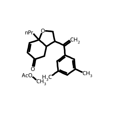 C=C(c1cc(C)cc(C)c1)C1COC2(CCC)C=CC(=O)CC12.COC(C)=O